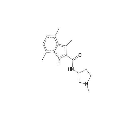 Cc1ccc(C)c2c(C)c(C(=O)NC3CCN(C)C3)[nH]c12